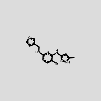 Cc1cc(Nc2nc(NCc3ccoc3)ncc2Br)n[nH]1